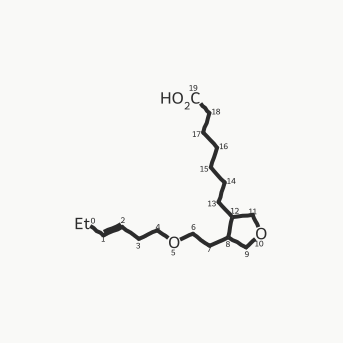 CC/C=C/CCOCCC1COCC1CCCCCCC(=O)O